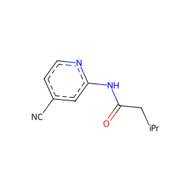 CC(C)CC(=O)Nc1cc(C#N)ccn1